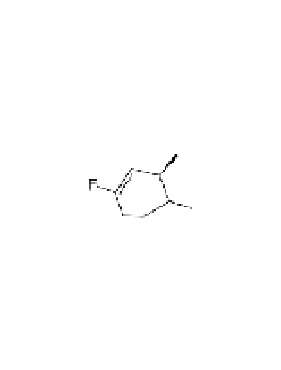 CC1CCC(F)=C[C@H]1C